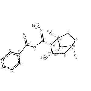 CN1[C@H]2CC[C@@H]1[C@@H](C(=O)OC(=O)c1ccccc1)[C@@H](O)C2.O